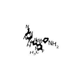 Cc1nc(-c2cc(Nc3cnc(C#N)cn3)n[nH]2)c(O[C@@H]2CC[C@H](N)C2)cc1F